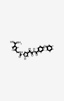 N=C(N)c1csc(CNC(=O)[C@@H]2CC(C(=O)C(=O)NC(=O)c3ccc(Oc4ccccc4)cc3)CN2)c1